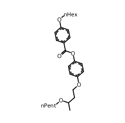 CCCCCCOc1ccc(C(=O)Oc2ccc(OCCC(C)OCCCCC)cc2)cc1